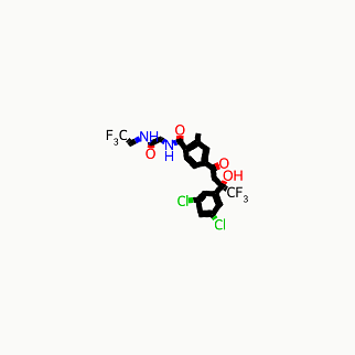 Cc1cc(C(=O)CC(O)(c2cc(Cl)cc(Cl)c2)C(F)(F)F)ccc1C(=O)NCC(=O)NCC(F)(F)F